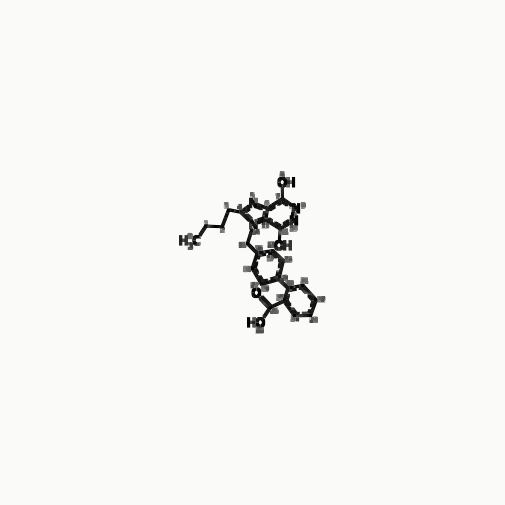 CCCCc1nc2c(O)nnc(O)c2n1Cc1ccc(-c2ccccc2C(=O)O)cc1